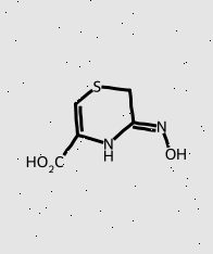 O=C(O)C1=CSC/C(=N/O)N1